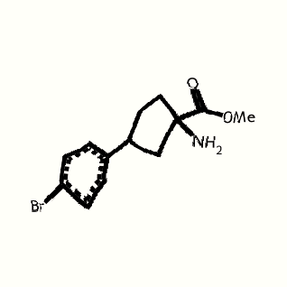 COC(=O)C1(N)CCC(c2ccc(Br)cc2)C1